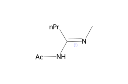 CCC/C(=N\C)NC(C)=O